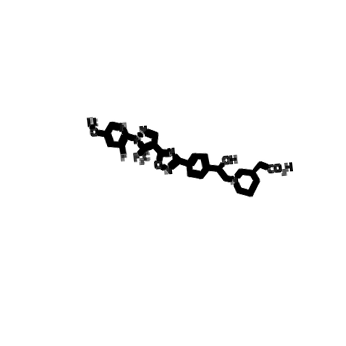 CCOc1cnc(-n2ncc(-c3nc(-c4ccc([C@@H](O)CN5CCC[C@H](CC(=O)O)C5)cc4)no3)c2C(F)(F)F)c(F)c1